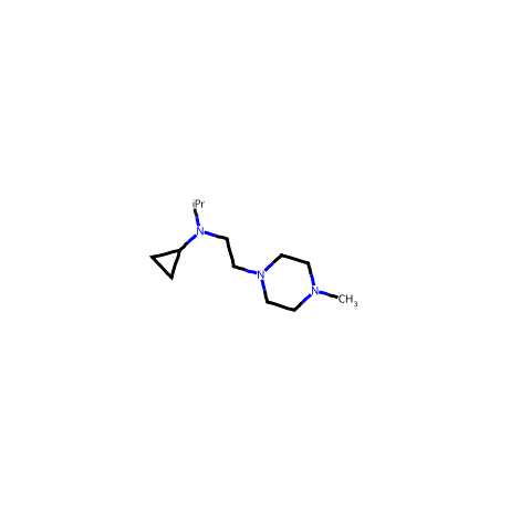 CC(C)N(CCN1CCN(C)CC1)C1CC1